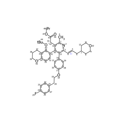 Cc1nc(/C=C/CC2CCOCC2)c(-c2ccc(OCCc3ccc(F)cc3)cc2)c(-c2ccc3c(c2)CCCO3)c1[C@H](OC(C)(C)C)C(=O)OC(C)C